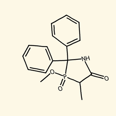 COP1(=O)C(C)C(=O)NC1(c1ccccc1)c1ccccc1